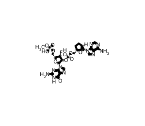 COP(=O)(O)OC[C@H]1O[C@@H](n2cnc3c(=O)[nH]c(N)nc32)[C@H](OP(=O)(O)OC[C@]23CC[C@H](C2)[C@H](n2cnc4c(N)ncnc42)O3)[C@@H]1F